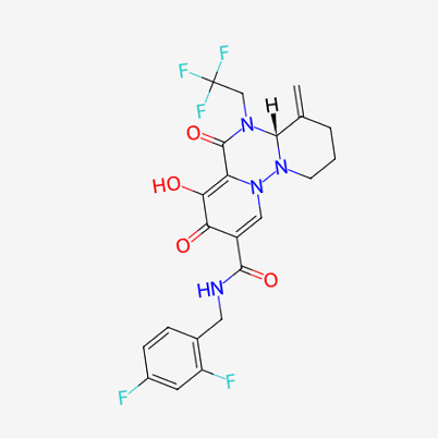 C=C1CCCN2[C@@H]1N(CC(F)(F)F)C(=O)c1c(O)c(=O)c(C(=O)NCc3ccc(F)cc3F)cn12